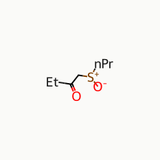 CCC[S+]([O-])CC(=O)CC